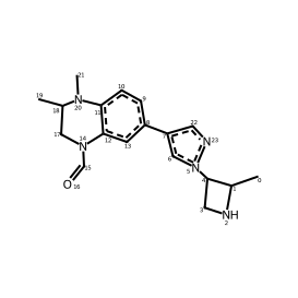 CC1NCC1n1cc(-c2ccc3c(c2)N(C=O)CC(C)N3C)cn1